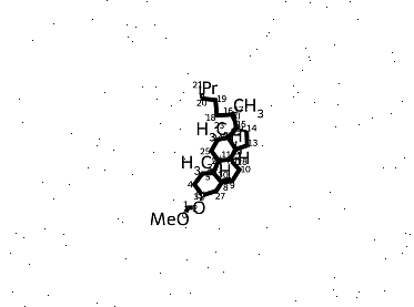 COCO[C@H]1CC[C@@]2(C)C(=CC[C@H]3[C@@H]4CC[C@H]([C@H](C)CCCC(C)C)[C@@]4(C)CC[C@@H]32)C1